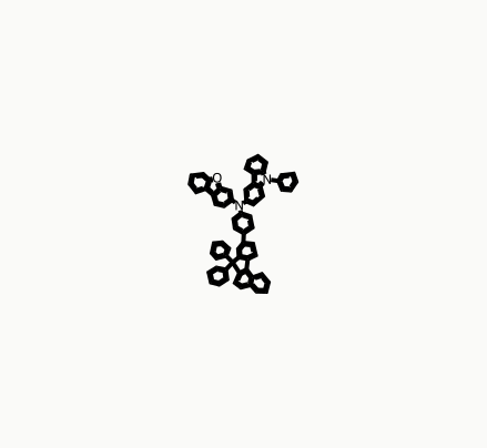 c1ccc(-n2c3ccccc3c3cc(N(c4ccc(-c5ccc6c(c5)C(c5ccccc5)(c5ccccc5)c5ccc7ccccc7c5-6)cc4)c4ccc5c(c4)oc4ccccc45)ccc32)cc1